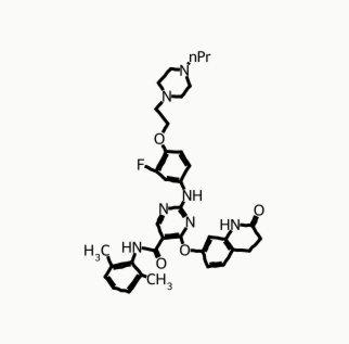 CCCN1CCN(CCOc2ccc(Nc3ncc(C(=O)Nc4c(C)cccc4C)c(Oc4ccc5c(c4)NC(=O)CC5)n3)cc2F)CC1